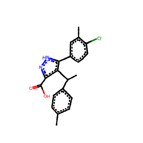 Cc1ccc(C(C)c2c(C(=O)O)n[nH]c2-c2ccc(Cl)c(C)c2)cc1